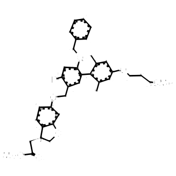 COC(=O)C[C@@H]1COc2cc(OCc3cc(-c4c(C)cc(OCCCSC)cc4C)c(OCc4ccccc4)cc3F)ccc21